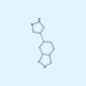 c1cc2cnoc2cc1-c1cn[nH]c1